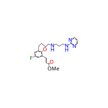 COC(=O)C=Cc1cc(F)cc2c1OC(CNCCCNc1ncccn1)CC2